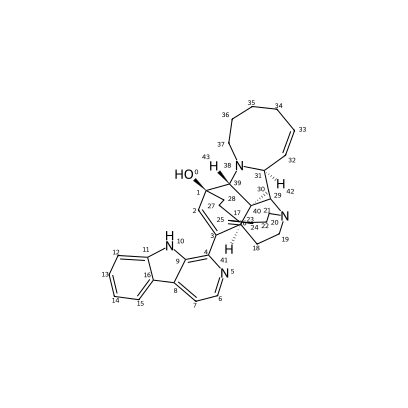 O[C@]12C=C(c3nccc4c3[nH]c3ccccc34)[C@@H]3CCN(CCCC/C=C\CC1)C1C4[C@@H]5/C=C\CCCCN5[C@@H]2[C@@]413